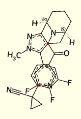 Cn1nc2c(c1-c1cc(F)c(F)c(F)c1)C[C@@H]1CCC[C@H]2N1CC(=O)c1ccc(C2(C#N)CC2)nc1